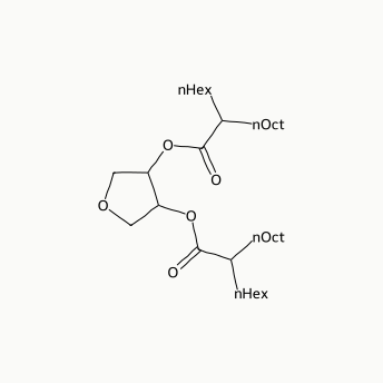 CCCCCCCCC(CCCCCC)C(=O)OC1COCC1OC(=O)C(CCCCCC)CCCCCCCC